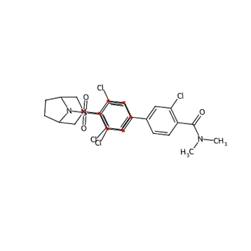 CN(C)C(=O)c1ccc(-c2ccc(N3CC4CCC(C3)N4S(=O)(=O)c3c(Cl)cccc3Cl)c(Cl)c2)cc1Cl